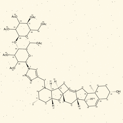 CC(=O)OCC1O[C@@H](n2cc(CN3C[C@@H](C)C[C@H]4O[C@@]56CC[C@@H]7C(=C5C[C@@H]6[C@@H]43)CC3[C@H]7CC=C4C[C@@H](O)CC[C@@]43C)nn2)C(OC(C)=O)C(OC(C)=O)[C@@H]1O[C@@H]1OC(COC(C)=O)[C@H](OC(C)=O)C(OC(C)=O)C1OC(C)=O